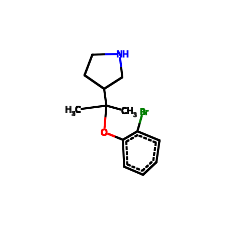 CC(C)(Oc1ccccc1Br)C1CCNC1